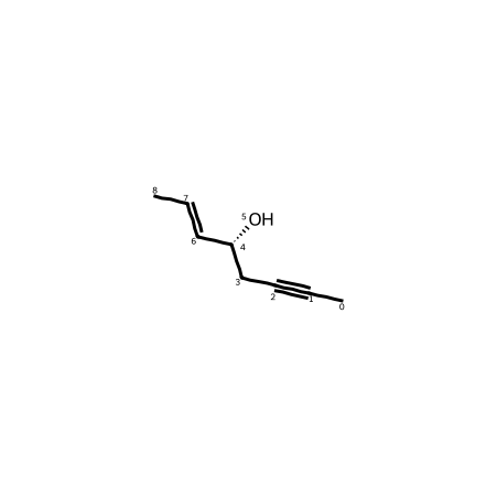 CC#CC[C@@H](O)/C=C/C